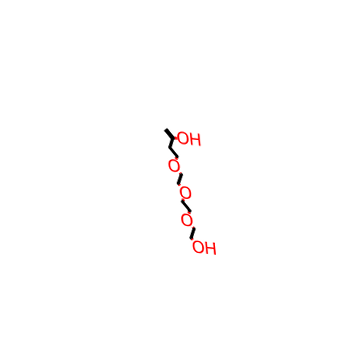 C=C(O)CCOCCOCCOCCO